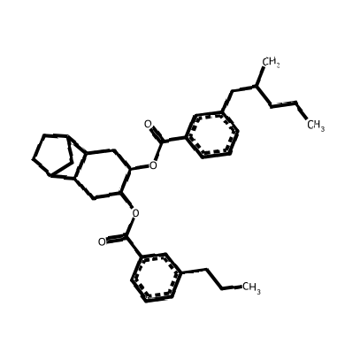 CCCc1cccc(C(=O)OC2CC3C4CCC(C4)C3CC2OC(=O)c2cccc(CC(C)CCC)c2)c1